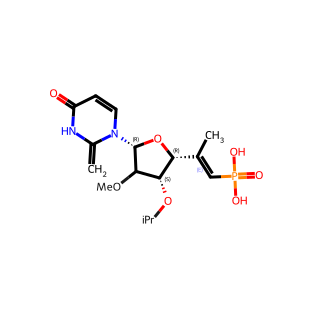 C=C1NC(=O)C=CN1[C@@H]1O[C@H](/C(C)=C/P(=O)(O)O)[C@H](OC(C)C)C1OC